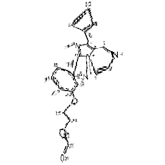 N[N+]12C=CN=CC1=C(C1=CC=C1)N=C2c1cccc(OCCOC=O)c1